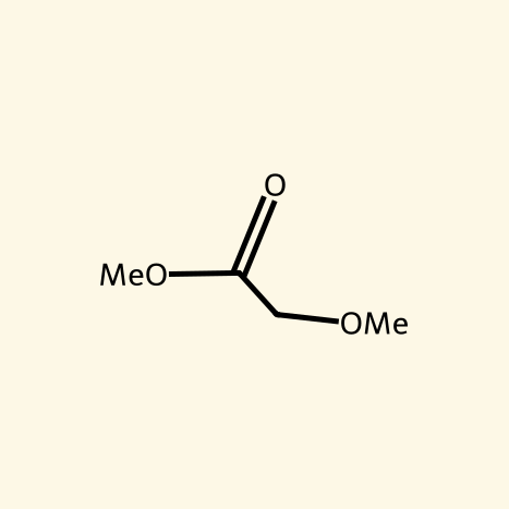 [CH2]OC(=O)COC